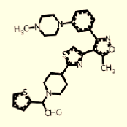 Cc1onc(-c2cccc(N3CCN(C)CC3)c2)c1-c1csc(C2CCN(C(C=O)c3cccs3)CC2)n1